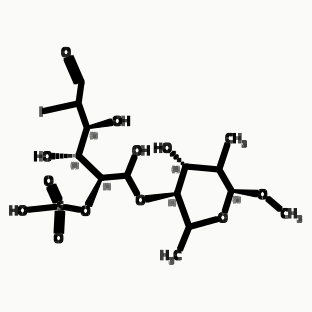 CO[C@H]1OC(C)[C@@H](OC(O)[C@@H](OS(=O)(=O)O)[C@H](O)[C@H](O)C(I)C=O)[C@H](O)C1C